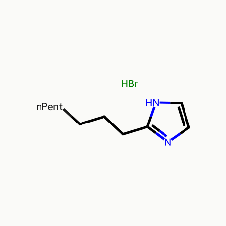 Br.CCCCCCCCc1ncc[nH]1